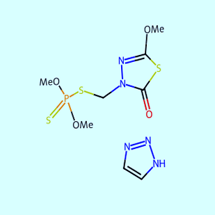 COc1nn(CSP(=S)(OC)OC)c(=O)s1.c1c[nH]nn1